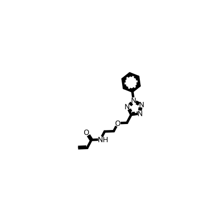 C=CC(=O)NCCOCc1nnn(-c2ccccc2)n1